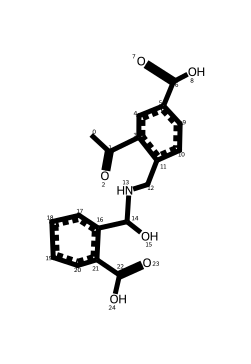 CC(=O)c1cc(C(=O)O)ccc1CNC(O)c1ccccc1C(=O)O